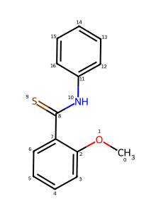 COc1ccccc1C(=S)Nc1ccccc1